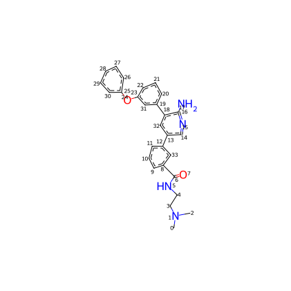 CN(C)CCNC(=O)c1cccc(-c2cnc(N)c(-c3cccc(Oc4ccccc4)c3)c2)c1